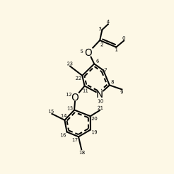 CC=C(CC)Oc1cc(C)nc(Oc2c(C)cc(C)cc2C)c1C